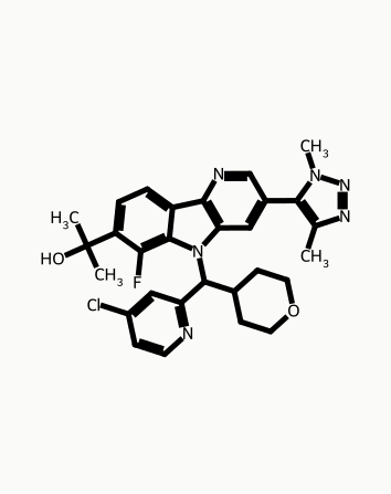 Cc1nnn(C)c1-c1cnc2c3ccc(C(C)(C)O)c(F)c3n(C(c3cc(Cl)ccn3)C3CCOCC3)c2c1